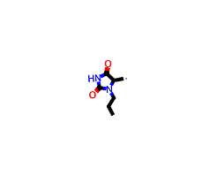 [CH2]C1C(=O)NC(=O)N1CCC